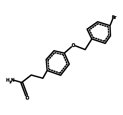 NC(=O)CCc1ccc(OCc2ccc(Br)cc2)cc1